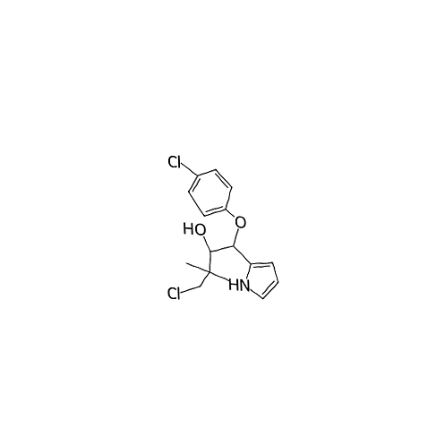 CC(C)(CCl)C(O)C(Oc1ccc(Cl)cc1)c1ccc[nH]1